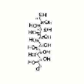 O=C[C@@H](O)[C@@H](O)[C@H](O)[C@H](O)[C@@H](O)[C@@H](O)[C@@H](O)[C@H](O)[C@@H](O)[C@@H](O)[C@H](O)[C@H](O)CO